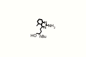 CCCC[C@H](CO)CCc1nc(N)nc2cccc(C)c12